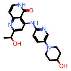 CC(O)c1cc(Nc2ccc(N3CCC(O)CC3)cn2)c2c(=O)[nH]ccc2n1